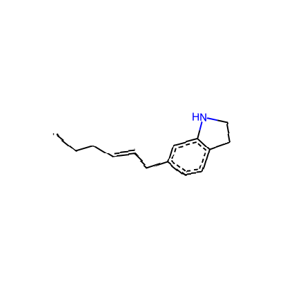 [CH2]CCC=CCc1ccc2c(c1)NCC2